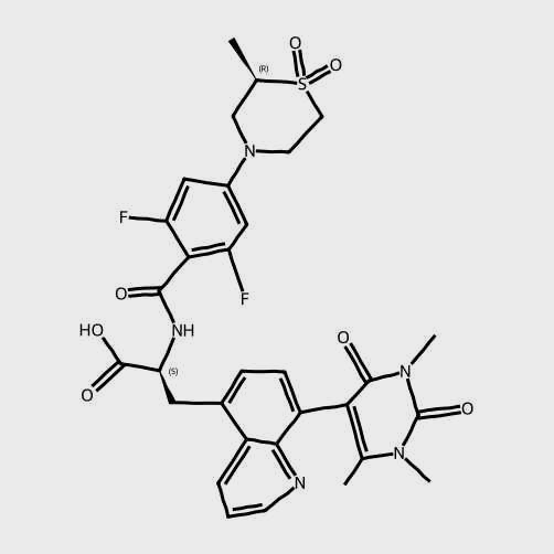 Cc1c(-c2ccc(C[C@H](NC(=O)c3c(F)cc(N4CCS(=O)(=O)[C@H](C)C4)cc3F)C(=O)O)c3cccnc23)c(=O)n(C)c(=O)n1C